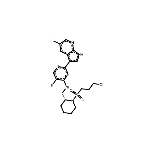 O=S(=O)(CCCCl)N1CCCC[C@@H]1CNc1nc(-c2c[nH]c3ncc(Cl)cc23)ncc1F